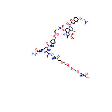 CCC(=O)NCCOCCOCCOCCOCCC(=O)NCCN[C@H](C(=O)NC(CCCNC(N)=O)C(=O)Nc1ccc(COC(=O)N(C)CCN(C)C(=O)Oc2cc3c(c4c(C(=O)OC)c(C)[nH]c24)[C@H](CC)CN3C(=O)c2cc3cc(OCCN(C)C)ccc3o2)cc1)C(C)C